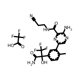 Cc1ccc(C(O)(C(N)=O)C(F)(F)F)cc1-c1cnc(N)c(C(=O)NCCC#N)n1.O=C(O)C(F)(F)F